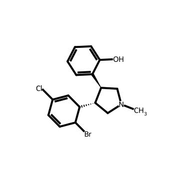 CN1C[C@H](c2ccccc2O)[C@@H](C2C=C(Cl)C=CC2Br)C1